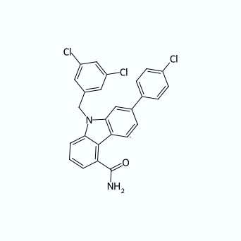 NC(=O)c1cccc2c1c1[c]cc(-c3ccc(Cl)cc3)cc1n2Cc1cc(Cl)cc(Cl)c1